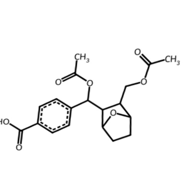 CC(=O)OCC1C2CCC(O2)C1C(OC(C)=O)c1ccc(C(=O)O)cc1